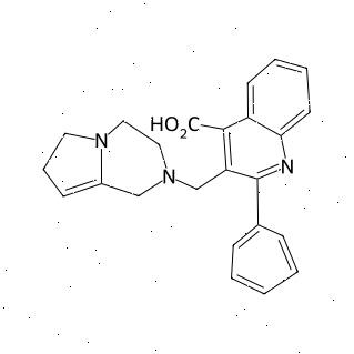 O=C(O)c1c(CN2CCN3CCC=C3C2)c(-c2ccccc2)nc2ccccc12